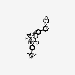 Cc1ncn(C)c1-c1ccc(NC(=O)[C@H](Cc2cc(-c3ccnc(N4CCOCC4)c3)ccc2Cl)NC(=O)C2(F)CC2)cc1